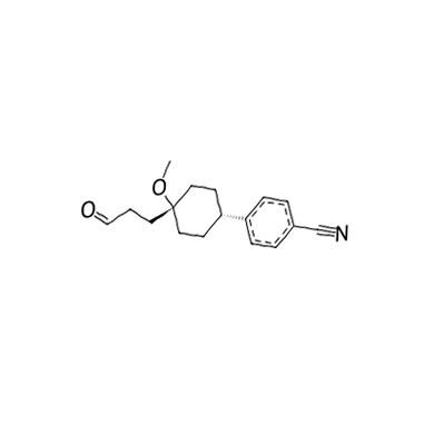 CO[C@]1(CCC=O)CC[C@H](c2ccc(C#N)cc2)CC1